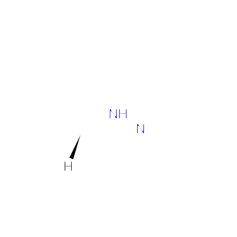 CN1CC2CC[C@@H](C1)NC2